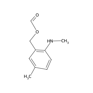 CNc1ccc(C)cc1COC=O